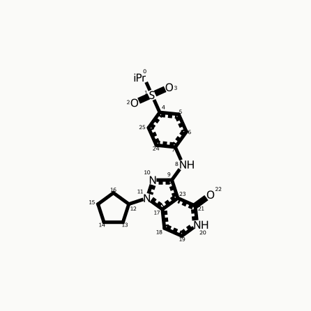 CC(C)S(=O)(=O)c1ccc(Nc2nn(C3CCCC3)c3cc[nH]c(=O)c23)cc1